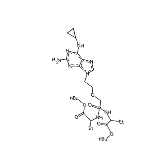 CCCCOC(=O)C(CC)NP(=O)(COCCn1cnc2c(NC3CC3)nc(N)nc21)NC(CC)C(=O)OCCCC